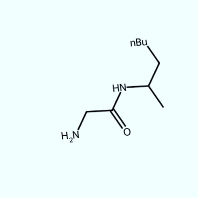 CCCCCC(C)NC(=O)CN